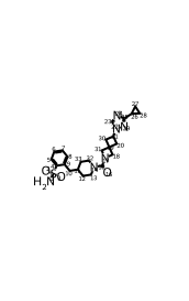 NS(=O)(=O)c1ccccc1CC1CCN(C(=O)N2CC3(CC(n4cnc(C5CC5)n4)C3)C2)CC1